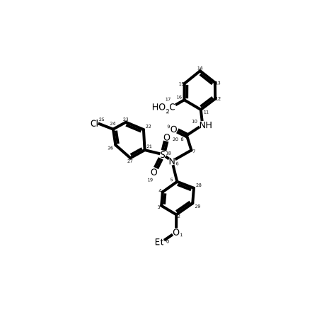 CCOc1ccc(N(CC(=O)Nc2ccccc2C(=O)O)S(=O)(=O)c2ccc(Cl)cc2)cc1